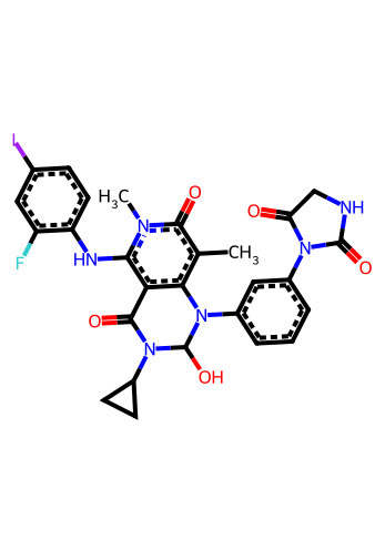 Cc1c2c(c(Nc3ccc(I)cc3F)n(C)c1=O)C(=O)N(C1CC1)C(O)N2c1cccc(N2C(=O)CNC2=O)c1